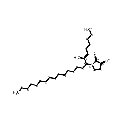 CCCCCC=C(C)C(CCCCCCCCCCCCCCC)N1CCC(=O)C1=O